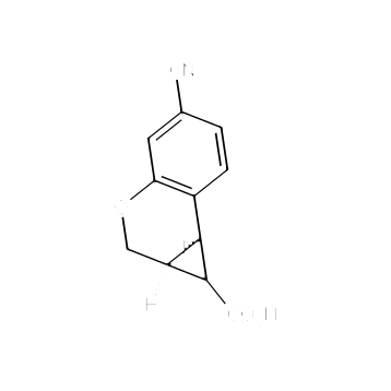 N#Cc1ccc2c(c1)OC[C@@H]1C(C(=O)O)[C@H]21